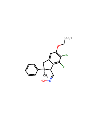 CC1(c2ccccc2)Cc2cc(OCC(=O)O)c(Cl)c(Cl)c2C1/C=N\O